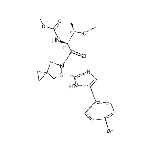 COC(=O)N[C@H](C(=O)N1CC2(CC2)C[C@H]1c1ncc(-c2ccc(Br)cc2)[nH]1)[C@@H](C)OC